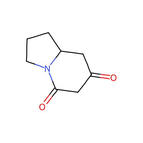 O=C1CC(=O)N2CCCC2C1